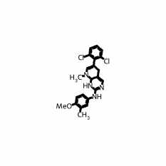 COc1ccc(NC2=NC=C3CC(c4c(Cl)cccc4Cl)=CN(C)C3N2)cc1C